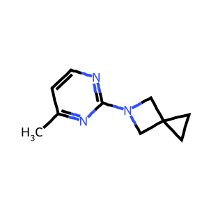 Cc1ccnc(N2CC3(CC3)C2)n1